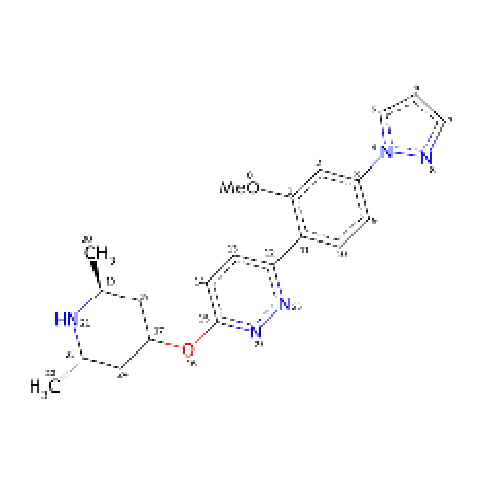 COc1cc(-n2cccn2)ccc1-c1ccc(OC2C[C@H](C)N[C@@H](C)C2)nn1